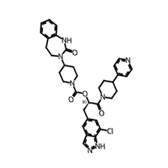 O=C(O[C@H](Cc1cc(Cl)c2[nH]ncc2c1)C(=O)N1CCC(c2ccncc2)CC1)N1CCC(N2CCc3ccccc3NC2=O)CC1